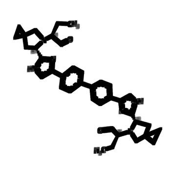 CC[C@@H]([C]=O)N1CC2(CC2)C[C@H]1c1nc(-c2ccc(-c3ccc(-c4c[nH]c([C@@H]5CC6(CC6)CN5[C@H]([C]=O)CC)n4)cc3)cc2)c[nH]1